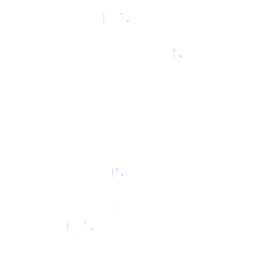 NC(=S)NCc1cnc(N)s1